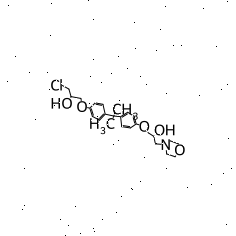 CC(C)(c1ccc(OC[C@@H](O)CCl)cc1)c1ccc(OC[C@H](O)CN2CCOCC2)cc1